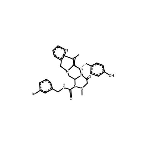 CN(C)c1ncccc1CN1CC2N(C(=O)CN(C)N2C(=O)NCc2cccc(Br)c2)[C@@H](Cc2ccc(O)cc2)C1=O